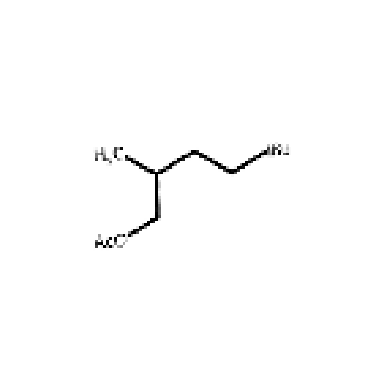 CCC(C)CCC(C)COC(C)=O